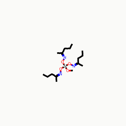 CCCC(C)=NO[Si](OC)(ON=C(C)CCC)ON=C(C)CCC